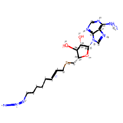 [N-]=[N+]=NCCCCC/C=C/CSC[C@H]1O[C@@H](n2cnc3c(N)ncnc32)[C@@H](O)C1O